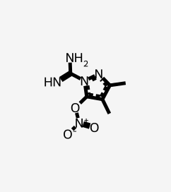 Cc1nn(C(=N)N)c(O[N+](=O)[O-])c1C